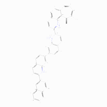 C=C1C(C)=CC=Cc2ccc3ccc(C4C=Cc5ccc(-c6ccc7ccc(-c8ccc9ccccc9c8)nc7c6)cc5N4)nc3c21